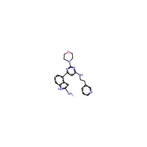 Nc1cc2c(-c3cc(NCCc4cccnc4)nc(N4CCOCC4)n3)cccc2[nH]1